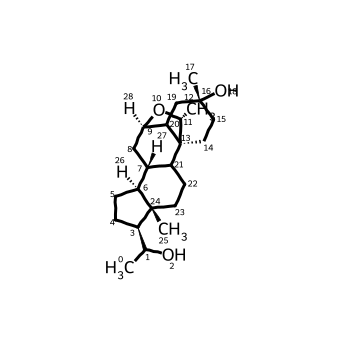 CC(O)[C@H]1CC[C@H]2[C@@H]3C[C@H]4O[C@H](C)[C@@]5(CC[C@@](C)(O)CC45)C3CC[C@]12C